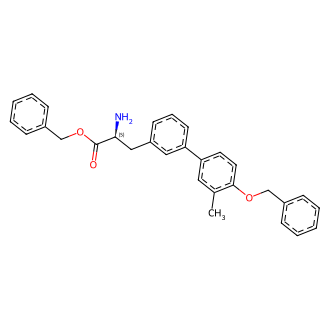 Cc1cc(-c2cccc(C[C@H](N)C(=O)OCc3ccccc3)c2)ccc1OCc1ccccc1